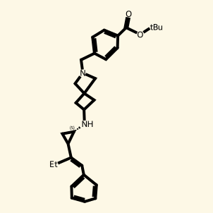 CCC(=Cc1ccccc1)C1C[C@@H]1NC1CC2(C1)CN(Cc1ccc(C(=O)OC(C)(C)C)cc1)C2